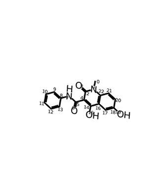 Cn1c(=O)c(C(=O)Nc2ccccc2)c(O)c2cc(O)ccc21